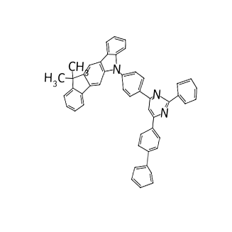 CC1(C)c2ccccc2-c2cc3c(cc21)c1ccccc1n3-c1ccc(-c2cc(-c3ccc(-c4ccccc4)cc3)nc(-c3ccccc3)n2)cc1